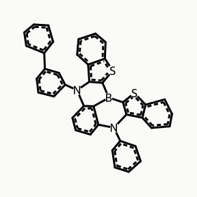 c1ccc(-c2cccc(N3c4cccc5c4B(c4sc6ccccc6c4N5c4ccccc4)c4sc5ccccc5c43)c2)cc1